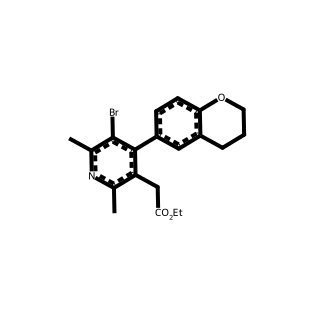 CCOC(=O)Cc1c(C)nc(C)c(Br)c1-c1ccc2c(c1)CCCO2